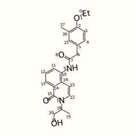 CCOc1ccc(CC(=O)Nc2cccc3c(=O)n(C(C)CO)ccc23)cc1C